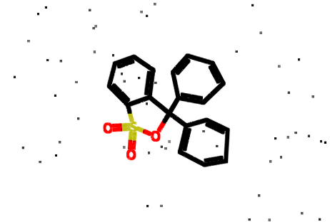 O=S1(=O)OC(c2ccccc2)(c2ccccc2)c2ccccc21